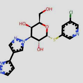 OC[C@H]1O[C@H](Sc2cncc(Cl)c2)[C@H](O)[C@@H](n2cc(-c3cc[nH]n3)cn2)[C@H]1O